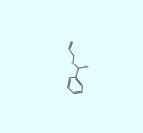 [2H]C(O[CH]C=C)c1ccccc1